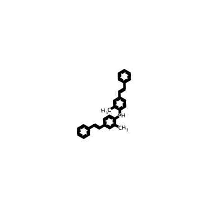 Cc1cc(C=Cc2ccccc2)ccc1Pc1ccc(C=Cc2ccccc2)cc1C